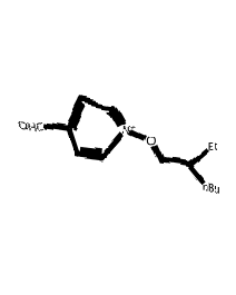 CCCCC(CC)CO[n+]1ccc(C=O)cc1